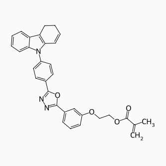 C=C(C)C(=O)OCCOc1cccc(-c2nnc(-c3ccc(-n4c5c(c6ccccc64)CCC=C5)cc3)o2)c1